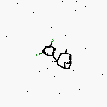 CC1C=C2CC(C2)CC(C)(c2cc(Cl)cc(Br)c2)C1